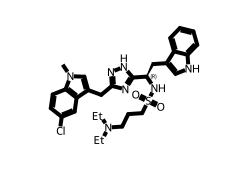 CCN(CC)CCCS(=O)(=O)N[C@H](Cc1c[nH]c2ccccc12)c1nc(Cc2cn(C)c3ccc(Cl)cc23)n[nH]1